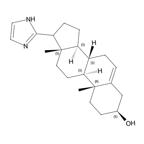 C[C@]12CC[C@H](O)CC1=CC[C@@H]1[C@@H]2CC[C@]2(C)C(c3ncc[nH]3)CC[C@@H]12